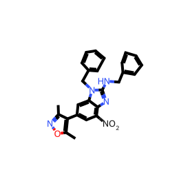 Cc1noc(C)c1-c1cc([N+](=O)[O-])c2nc(NCc3ccccc3)n(Cc3ccccc3)c2c1